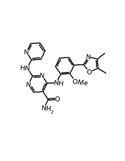 COc1c(Nc2nc(Nc3ccccn3)ncc2C(N)=O)cccc1-c1nc(C)c(C)o1